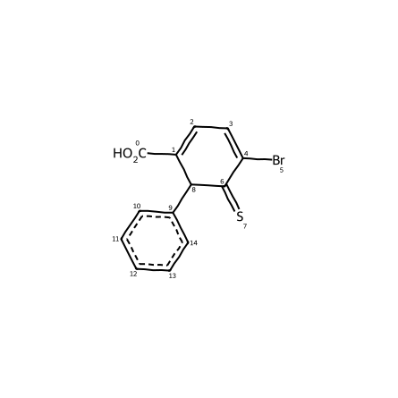 O=C(O)C1=CC=C(Br)C(=S)C1c1ccccc1